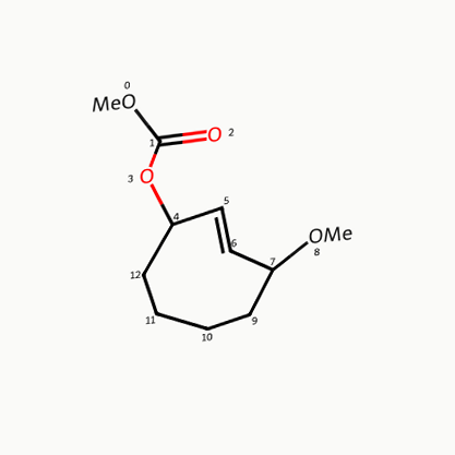 COC(=O)OC1/C=C/C(OC)CCCC1